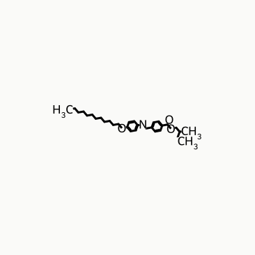 CCCCCCCCCCCCOc1ccc(N=Cc2ccc(C(=O)OCC(C)CC)cc2)cc1